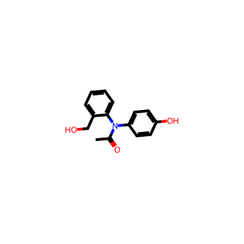 CC(=O)N(c1ccc(O)cc1)c1ccccc1CO